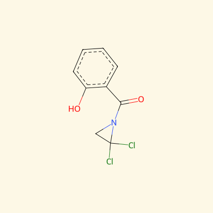 O=C(c1ccccc1O)N1CC1(Cl)Cl